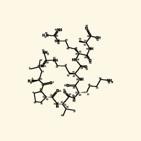 CC(C)C[C@H](N)C(=O)N1CCC[C@H]1C(=O)N[C@H](C(=O)N[C@@H](CCCCN)C(=O)N[C@@H](CCCNC(=N)N)C(=O)N[C@@H](CCCNC(=N)N)C(=O)N[C@@H](C)C(=O)O)C(C)C